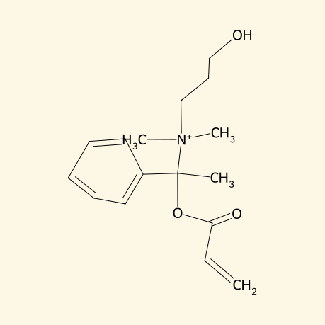 C=CC(=O)OC(C)(c1ccccc1)[N+](C)(C)CCCO